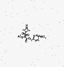 CC(=O)SN(C(=O)OCc1ccc([N+](=O)[O-])cc1)S(=O)(=O)C1CNC1